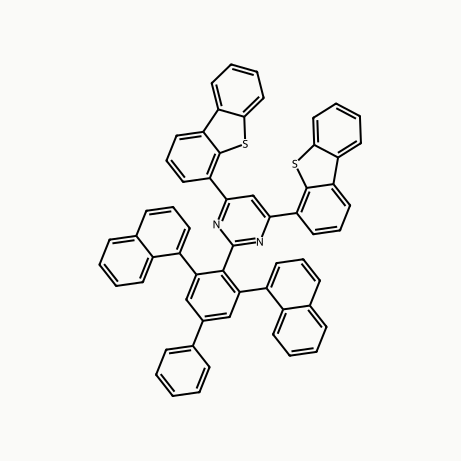 c1ccc(-c2cc(-c3cccc4ccccc34)c(-c3nc(-c4cccc5c4sc4ccccc45)cc(-c4cccc5c4sc4ccccc45)n3)c(-c3cccc4ccccc34)c2)cc1